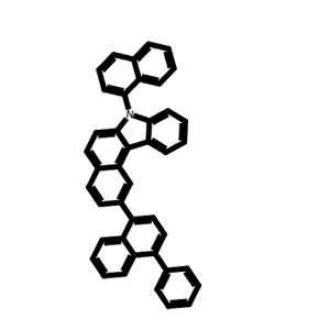 c1ccc(-c2ccc(-c3ccc4ccc5c(c4c3)c3ccccc3n5-c3cccc4ccccc34)c3ccccc23)cc1